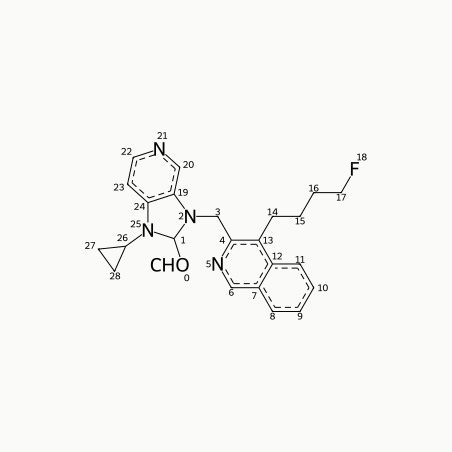 O=CC1N(Cc2ncc3ccccc3c2CCCCF)c2cnccc2N1C1CC1